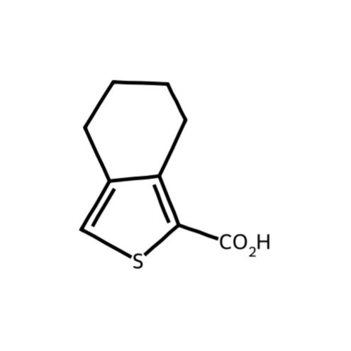 O=C(O)c1scc2c1CCCC2